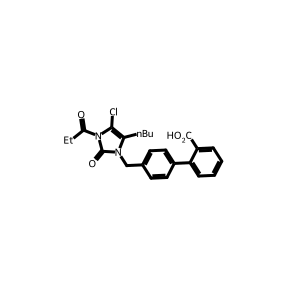 CCCCc1c(Cl)n(C(=O)CC)c(=O)n1Cc1ccc(-c2ccccc2C(=O)O)cc1